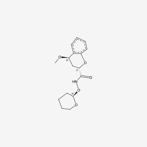 CO[C@@H]1C[C@@H](C(=O)NO[C@@H]2CCCCO2)Oc2ccccc21